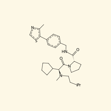 Cc1ncsc1-c1ccc(CNC(=O)[C@@H]2CCCN2C(=O)[C@H](C2CCCC2)N(C)CCC(C)C)cc1